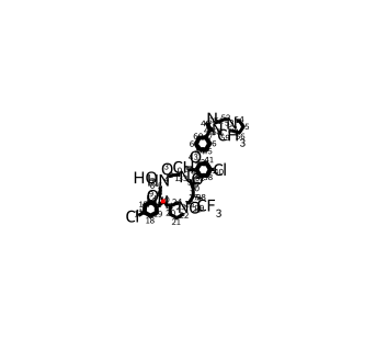 C[C@H]1C(=O)N[C@@H](CO)C(=O)N[C@@]2(Cc3ccc(Cl)cc3)CCCN(C2)C(=O)[C@H](CC(F)(F)F)CC(=O)N1Cc1c(F)cc(Cl)cc1Oc1ccc(-c2cnc(CN3CCCC3)n2C)cc1